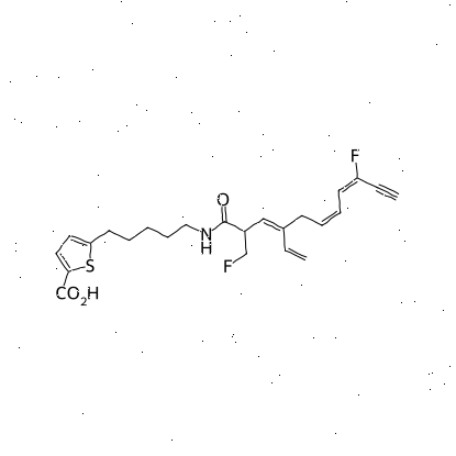 C#C/C(F)=C\C=C/C/C(C=C)=C/C(CF)C(=O)NCCCCCc1ccc(C(=O)O)s1